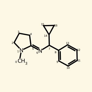 CN1CCC/C1=N\C(c1ccccc1)C1CC1